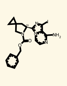 Nc1nccn2c([C@@H]3CC4(CC4)CN3C(=O)OCc3ccccc3)nc(I)c12